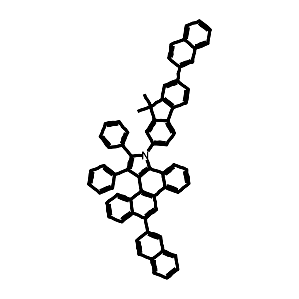 CC1(C)c2cc(-c3ccc4ccccc4c3)ccc2-c2ccc(-n3c(-c4ccccc4)c(-c4ccccc4)c4c5c6ccccc6c(-c6ccc7ccccc7c6)cc5c5ccccc5c43)cc21